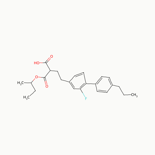 CCCc1ccc(-c2ccc(CCC(C(=O)O)C(=O)OC(C)CC)cc2F)cc1